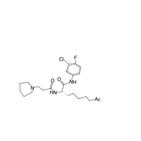 CC(=O)CCCCC[C@H](NC(=O)CCN1CCCCC1)C(=O)Nc1ccc(F)c(Cl)c1